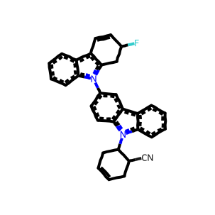 N#CC1CC=CCC1n1c2ccccc2c2cc(-n3c4c(c5ccccc53)C=CC(F)C4)ccc21